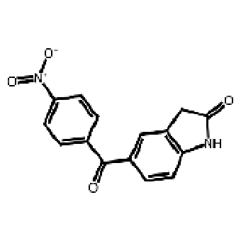 O=C1Cc2cc(C(=O)c3ccc([N+](=O)[O-])cc3)ccc2N1